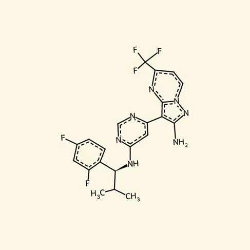 CC(C)[C@H](Nc1cc(-c2c(N)nn3ccc(C(F)(F)F)nc23)ncn1)c1ccc(F)cc1F